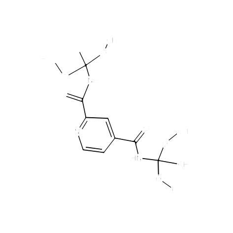 COC(C)(NC(=O)c1ccnc(C(=O)NC(C)(OC)OC)c1)OC